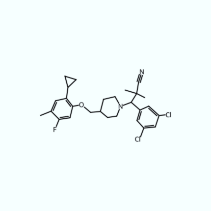 Cc1cc(C2CC2)c(OCC2CCN(C(c3cc(Cl)cc(Cl)c3)C(C)(C)C#N)CC2)cc1F